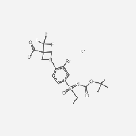 CCS(=O)(=NC(=O)OC(C)(C)C)c1ccc(N2CC(C(=O)[O-])(C(F)(F)F)C2)c(Br)c1.[K+]